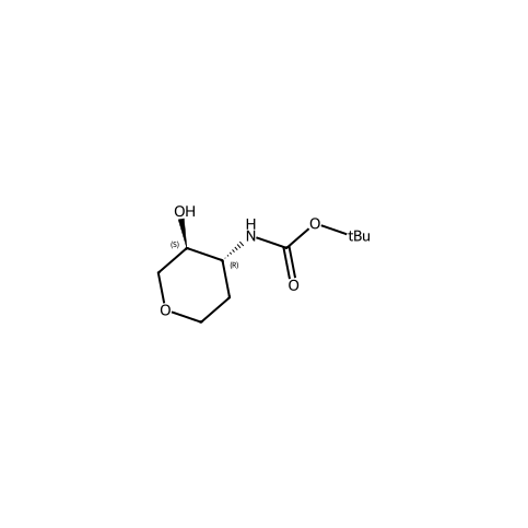 CC(C)(C)OC(=O)N[C@@H]1CCOC[C@H]1O